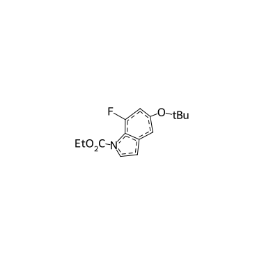 CCOC(=O)n1ccc2cc(OC(C)(C)C)cc(F)c21